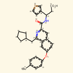 CC(C)(C)c1ccc(Oc2ccc3cc(C(=O)NC(CC(=O)O)c4ccsc4)nc(CC4CCCC4)c3c2)cc1